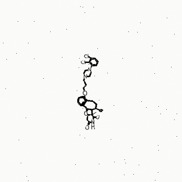 C#CC1CCc2c(OCCCN3CCN(c4cccc(Cl)c4Cl)CC3)cccc2C(=O)C1[C@@]1(C)CCC(=O)NC1=O